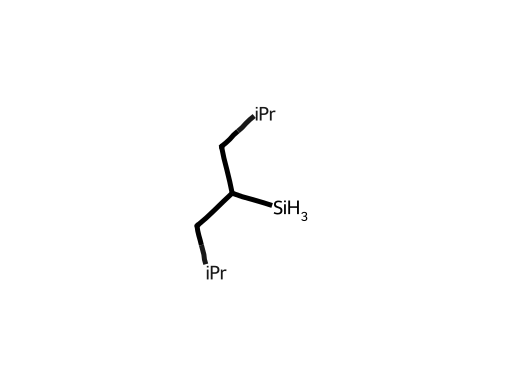 CC(C)CC([SiH3])CC(C)C